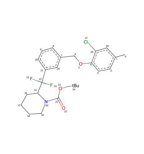 Cc1ccc(OCc2cccc(C(F)(F)C3CCCCN3C(=O)OC(C)(C)C)c2)c(Cl)c1